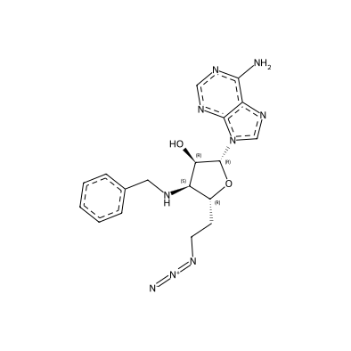 [N-]=[N+]=NCC[C@H]1O[C@@H](n2cnc3c(N)ncnc32)[C@H](O)[C@@H]1NCc1ccccc1